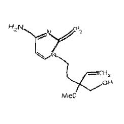 C=CC(CO)(CCN1C=CC(N)=NC1=C)OC